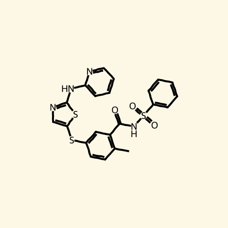 Cc1ccc(Sc2cnc(Nc3ccccn3)s2)cc1C(=O)NS(=O)(=O)c1ccccc1